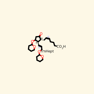 CCCCCCC[C@@H](/C=C/[C@H]1C(OC2CCCCO2)CC(=O)[C@@H]1C/C=C\CCCC(=O)O)OC1CCCCO1